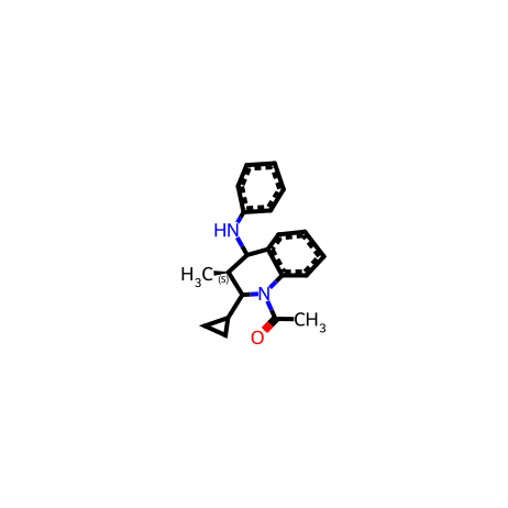 CC(=O)N1c2ccccc2C(Nc2ccccc2)[C@H](C)C1C1CC1